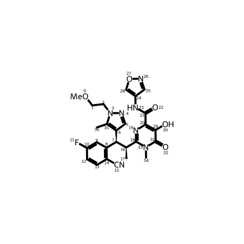 COCCn1ncc([C@H](c2cc(F)ccc2C#N)[C@H](C)c2nc(C(=O)Nc3cnoc3)c(O)c(=O)n2C)c1C